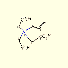 C=CC[N+](CC(=O)O)(CC(=O)O)CC(=O)O